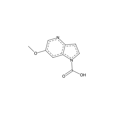 COc1cnc2ccn(C(=O)O)c2c1